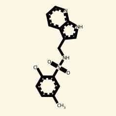 Cc1ccc(Cl)c(S(=O)(=O)NCc2c[nH]c3ncccc23)c1